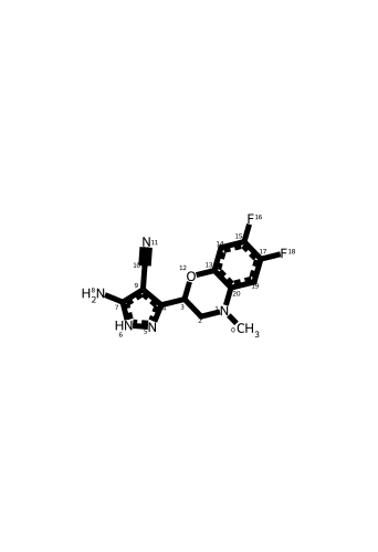 CN1CC(c2n[nH]c(N)c2C#N)Oc2cc(F)c(F)cc21